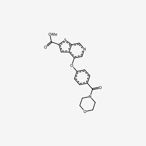 COC(=O)c1cc2c(Oc3ccc(C(=O)N4CCOCC4)cc3)cncc2s1